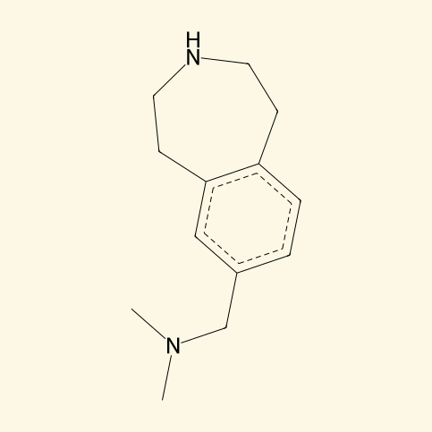 CN(C)Cc1ccc2c(c1)CCNCC2